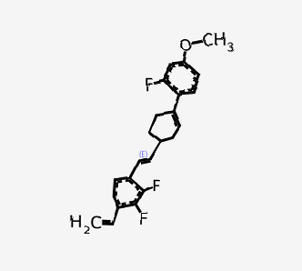 C=Cc1ccc(/C=C/C2CC=C(c3ccc(OC)cc3F)CC2)c(F)c1F